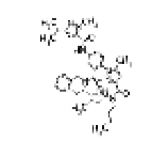 CCCCN(CCCC)C(=O)c1cc(C)n(-c2ccc(NC(=O)c3cc(C(C)C)nn3C)cc2C(=O)N2Cc3ccccc3C[C@H]2CO)n1